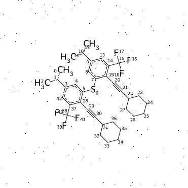 CC(C)c1cc(Sc2cc(C(C)C)cc(C(F)(F)F)c2C#CC2CCCCC2)c(C#CC2CCCCC2)c(C(F)(F)F)c1